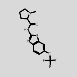 CN1CCCC1C(=O)Nc1nc2ccc(OC(F)(F)F)cc2s1